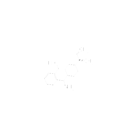 C=CC(=C)C1CCC(C(N)C2=C(CC)C=CCC2)CC1